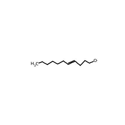 CCCCCCC=CCCC[O]